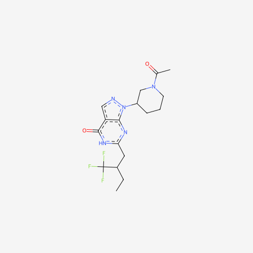 CCC(Cc1nc2c(cnn2C2CCCN(C(C)=O)C2)c(=O)[nH]1)C(F)(F)F